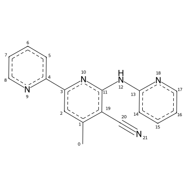 Cc1cc(-c2ccccn2)nc(Nc2ccccn2)c1C#N